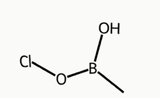 CB(O)OCl